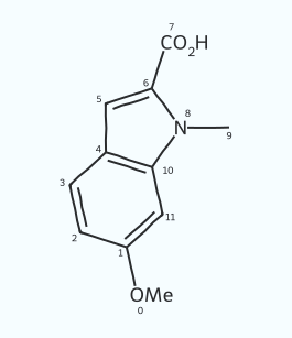 COc1ccc2cc(C(=O)O)n(C)c2c1